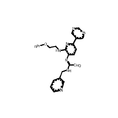 CCCOCCNc1nc(-c2cncnc2)ccc1/N=C(\C=O)NCc1cccnc1